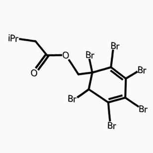 CC(C)CC(=O)OCC1(Br)C(Br)=C(Br)C(Br)=C(Br)C1Br